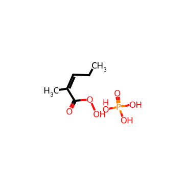 CCC=C(C)C(=O)OO.O=P(O)(O)O